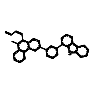 C=C/C=C\c1c(C)c2ccccc2c2cc(-c3cccc(-c4cccc5c4sc4ccccc45)c3)ccc12